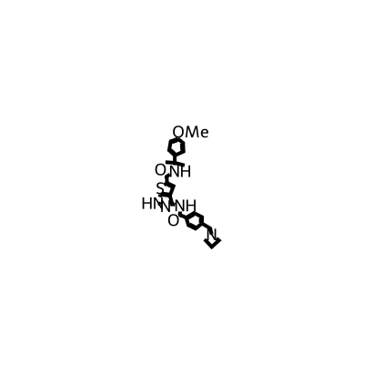 COc1ccc(C(C)(C)NC(=O)c2cc3c(NC(=O)c4ccc(CN5CCC5)cc4)n[nH]c3s2)cc1